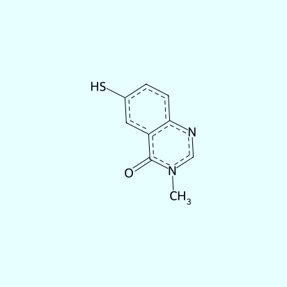 Cn1cnc2ccc(S)cc2c1=O